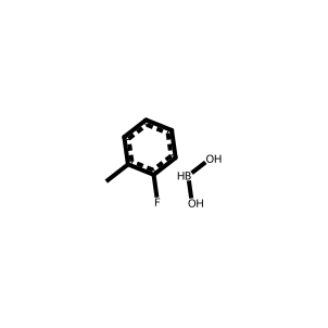 Cc1ccccc1F.OBO